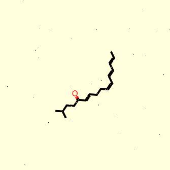 C/C=C/C=C/C=C\CC/C=C/C(=O)CCC(C)C